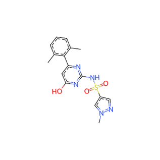 Cc1cccc(C)c1-c1cc(O)nc(NS(=O)(=O)c2cnn(C)c2)n1